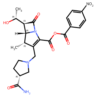 C[C@@H](O)[C@H]1C(=O)N2C(C(=O)OC(=O)c3ccc([N+](=O)[O-])cc3)=C(CN3CC[C@@H](C(N)=O)C3)[C@H](C)[C@H]12